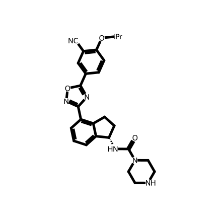 CC(C)Oc1ccc(-c2nc(-c3cccc4c3CC[C@@H]4NC(=O)N3CCNCC3)no2)cc1C#N